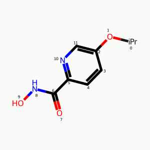 CC(C)Oc1ccc(C(=O)NO)nc1